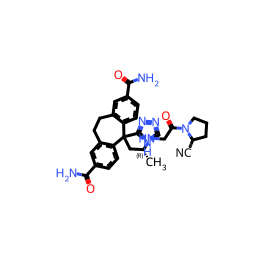 C[C@H](CC1(c2nnc[nH]2)c2ccc(C(N)=O)cc2CCc2cc(C(N)=O)ccc21)NCC(=O)N1CCCC1C#N